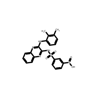 Cc1cccc(Nc2nc3ccccc3nc2NS(=O)(=O)c2cccc([N+](=O)O)c2)c1C